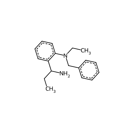 CCC(N)c1ccccc1N(CC)Cc1ccccc1